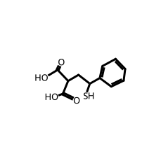 O=C(O)C(CC(S)c1ccccc1)C(=O)O